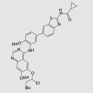 CCC(C)CC(CC)Oc1cc2c(Nc3cc(-c4ccc5nc(NC(=O)C6CC6)sc5c4)ccc3OC)ncnc2cc1OC